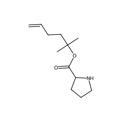 C=CCCC(C)(C)OC(=O)C1CCCN1